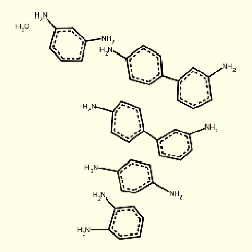 Nc1ccc(-c2cccc(N)c2)cc1.Nc1ccc(-c2cccc(N)c2)cc1.Nc1ccc(N)cc1.Nc1cccc(N)c1.Nc1ccccc1N.O